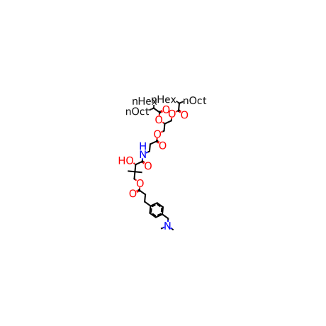 CCCCCCCCC(CCCCCC)C(=O)OCC(COC(=O)CCNC(=O)[C@H](O)C(C)(C)COC(=O)CCc1ccc(CN(C)C)cc1)OC(=O)C(CCCCCC)CCCCCCCC